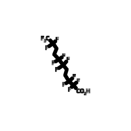 O=C(O)C(F)(F)C(F)(F)CCC(F)(F)C(F)(F)CCC(F)(F)C(F)(F)F